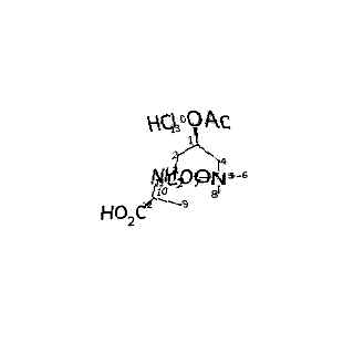 CC(=O)O[C@H](CC(=O)[O-])C[N+](C)(C)C.C[C@H](N)C(=O)O.Cl